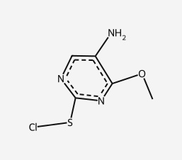 COc1nc(SCl)ncc1N